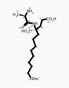 CCCCCCCCCCCCCCCCCC[C@](CCC(=O)O)(NC(=O)[C@@H](C)N)C(=O)O